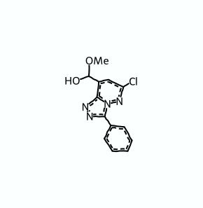 COC(O)c1cc(Cl)nn2c(-c3ccccc3)nnc12